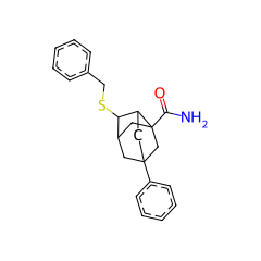 NC(=O)C12CC3CC(c4ccccc4)(CC1C3SCc1ccccc1)C2